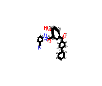 N#Cc1cccc(NC(=O)c2cc(C(=O)c3ccc(-c4ccccc4)cc3)ccc2O)c1